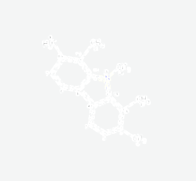 Cc1ccc2c3ccc(C)c(C)c3n(C)c2c1C